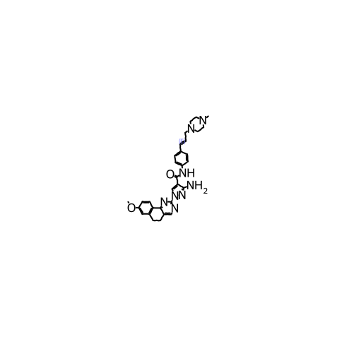 COc1ccc2c(c1)CCc1cnc(-n3cc(C(=O)Nc4ccc(/C=C/CN5CCN(C)CC5)cc4)c(N)n3)nc1-2